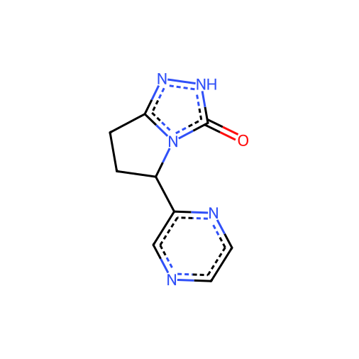 O=c1[nH]nc2n1C(c1cnccn1)CC2